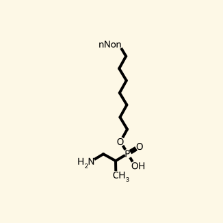 CCCCCCCCCCCCCCCCOP(=O)(O)C(C)CN